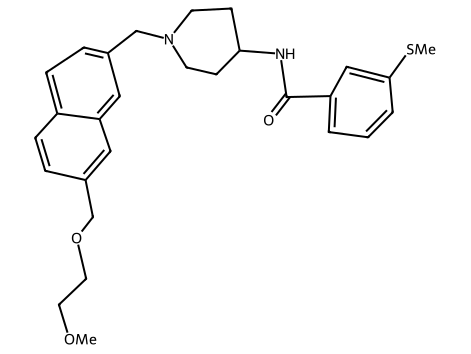 COCCOCc1ccc2ccc(CN3CCC(NC(=O)c4cccc(SC)c4)CC3)cc2c1